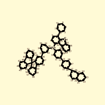 c1ccc(-c2ccc(N(c3ccc(-c4ccc(-c5ccc6ccccc6c5)cc4)cc3)c3cccc(-c4ccc5c(c4)C4(c6ccccc6-c6ccccc64)c4ccccc4-5)c3)c3c2sc2ccccc23)cc1